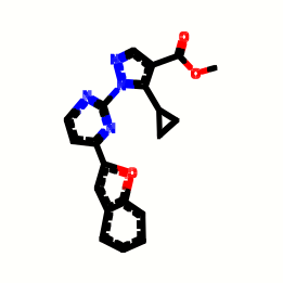 COC(=O)c1cnn(-c2nccc(-c3cc4ccccc4o3)n2)c1C1CC1